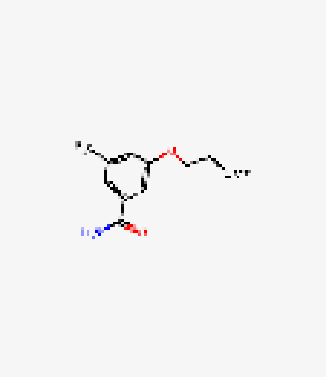 COCCOc1cc(C(N)=O)cc(C(F)(F)F)c1